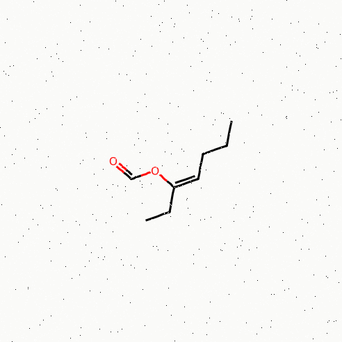 CCCC=C(CC)OC=O